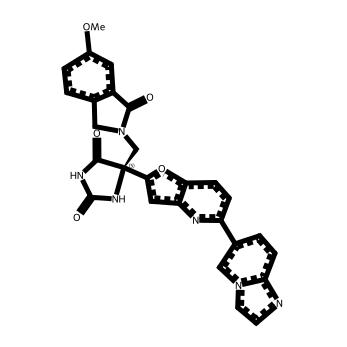 COc1ccc2c(c1)C(=O)N(C[C@@]1(c3cc4nc(-c5ccc6nccn6c5)ccc4o3)NC(=O)NC1=O)C2